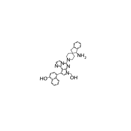 N[C@@H]1c2ccccc2CC12CCN(c1nc3c(c(-c4ccc(O)c5ccccc45)cn3CO)c3nccn13)CC2